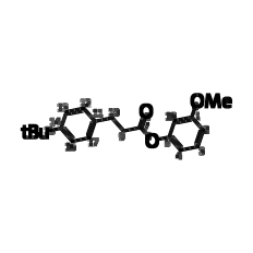 COc1cccc(OC(=O)CCc2ccc(C(C)(C)C)cc2)c1